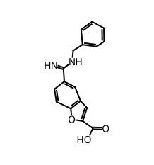 N=C(NCc1ccccc1)c1ccc2oc(C(=O)O)cc2c1